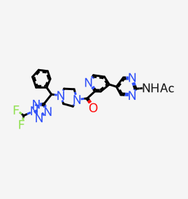 CC(=O)Nc1ncc(-c2ccnc(C(=O)N3CCN(C(c4ccccc4)c4nnn(C(F)F)n4)CC3)c2)cn1